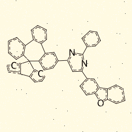 c1ccc(-c2nc(-c3ccc4c(c3)-c3ccccc3-c3ccccc3C43c4ccccc4-c4ccccc43)cc(-c3ccc4oc5ccccc5c4c3)n2)cc1